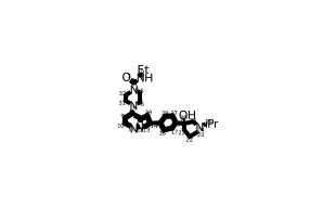 CCNC(=O)N1CCN(c2ccnn3cc(-c4ccc([C@@]5(O)CCCN(C(C)C)C5)cc4)cc23)CC1